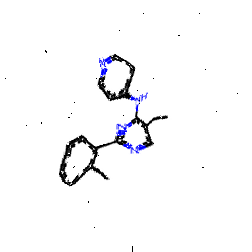 Cc1ccccc1-c1ncc(C)c(Nc2ccncc2)n1